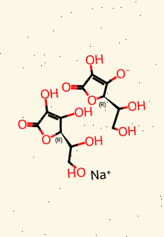 O=C1O[C@H](C(O)CO)C(O)=C1O.O=C1O[C@H](C(O)CO)C([O-])=C1O.[Na+]